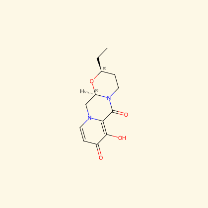 CC[C@H]1CCN2C(=O)c3c(O)c(=O)ccn3C[C@H]2O1